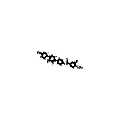 CCCCc1ccc(C(=O)Oc2ccc(-c3ccc(-c4ccc(CC)cc4)c(F)c3F)cc2)cc1F